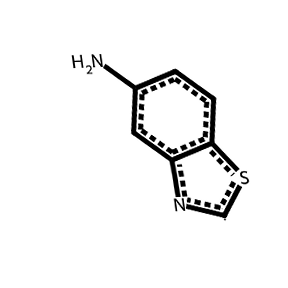 Nc1ccc2s[c]nc2c1